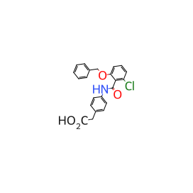 O=C(O)Cc1ccc(NC(=O)c2c(Cl)cccc2OCc2ccccc2)cc1